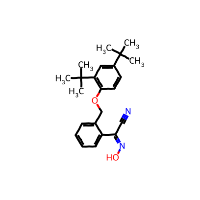 CC(C)(C)c1ccc(OCc2ccccc2/C(C#N)=N\O)c(C(C)(C)C)c1